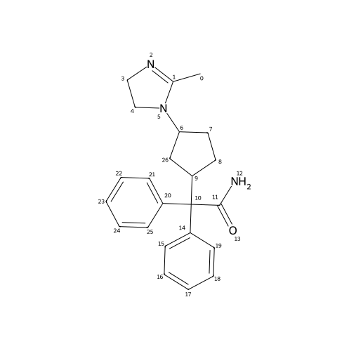 CC1=NCCN1C1CCC(C(C(N)=O)(c2ccccc2)c2ccccc2)C1